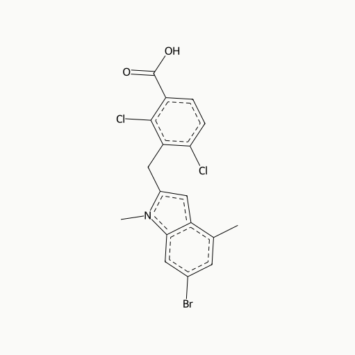 Cc1cc(Br)cc2c1cc(Cc1c(Cl)ccc(C(=O)O)c1Cl)n2C